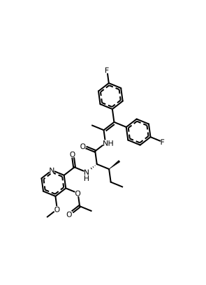 CC[C@H](C)[C@H](NC(=O)c1nccc(OC)c1OC(C)=O)C(=O)NC(C)=C(c1ccc(F)cc1)c1ccc(F)cc1